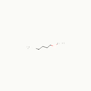 CCCCOC[C]CCOC